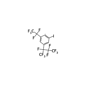 FC(F)(F)C(F)(F)c1[c]c(I)cc(C(F)(C(F)(F)F)C(F)(F)C(F)(F)F)c1